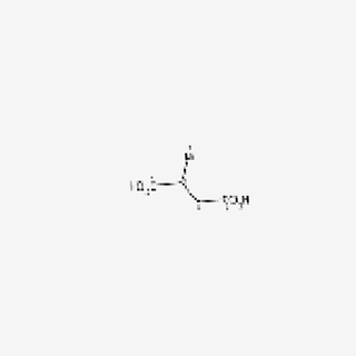 O=C(O)C[CH]([Ni])C(=O)O